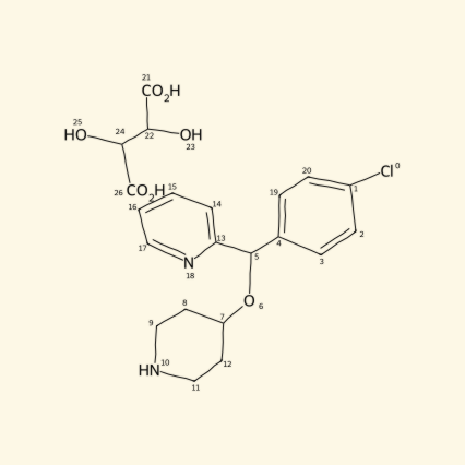 Clc1ccc(C(OC2CCNCC2)c2ccccn2)cc1.O=C(O)C(O)C(O)C(=O)O